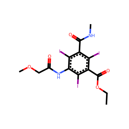 CCOC(=O)c1c(I)c(NC(=O)COC)c(I)c(C(=O)NC)c1I